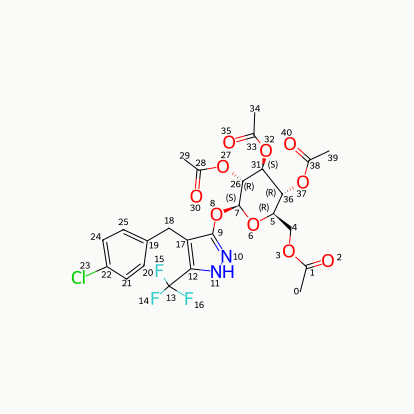 CC(=O)OC[C@H]1O[C@@H](Oc2n[nH]c(C(F)(F)F)c2Cc2ccc(Cl)cc2)[C@H](OC(C)=O)[C@@H](OC(C)=O)[C@@H]1OC(C)=O